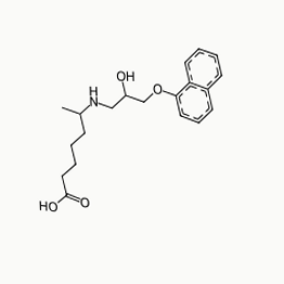 CC(CCCCC(=O)O)NCC(O)COc1cccc2ccccc12